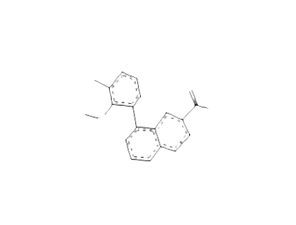 COc1c(F)cccc1-c1cccc2ccc(C(=O)O)cc12